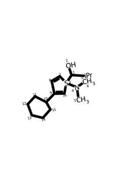 CC(C)C(O)S1(N(C)C)C=CC(C2CCCCC2)=C1